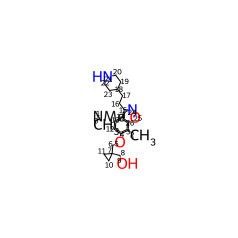 CNC.Cc1c(OCC2(CO)CC2)ccc2c(CCC3CCNCC3)noc12